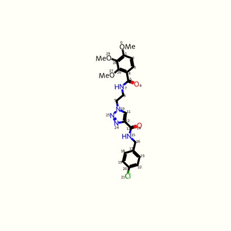 COc1ccc(C(=O)NCCn2cc(C(=O)NCc3ccc(Cl)cc3)nn2)c(OC)c1OC